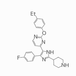 CCc1ccc(Oc2nccc(-c3[nH]c(C4CCNCC4)nc3-c3ccc(F)cc3)n2)cc1